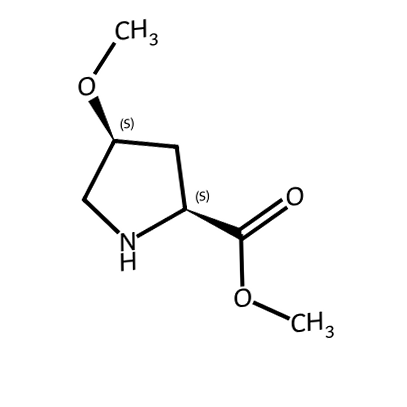 COC(=O)[C@@H]1C[C@H](OC)CN1